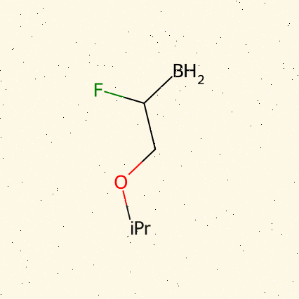 BC(F)COC(C)C